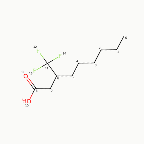 CCCCCCC(CC(=O)O)C(F)(F)F